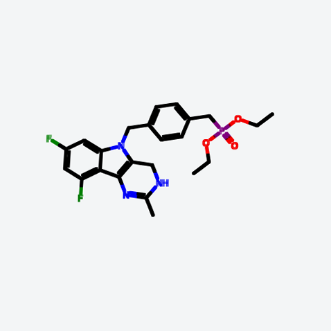 CCOP(=O)(Cc1ccc(Cn2c3c(c4c(F)cc(F)cc42)N=C(C)NC3)cc1)OCC